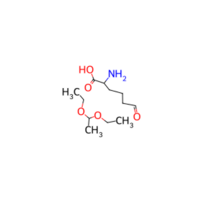 CCOC(C)OCC.NC(CCCC=O)C(=O)O